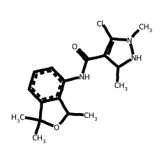 CC1NN(C)C(Cl)=C1C(=O)Nc1cccc2c1C(C)OC2(C)C